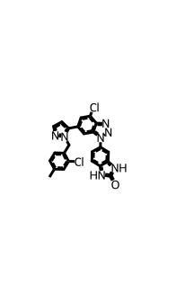 Cc1ccc(Cn2nccc2-c2cc(Cl)c3nnn(-c4ccc5[nH]c(=O)[nH]c5c4)c3c2)c(Cl)c1